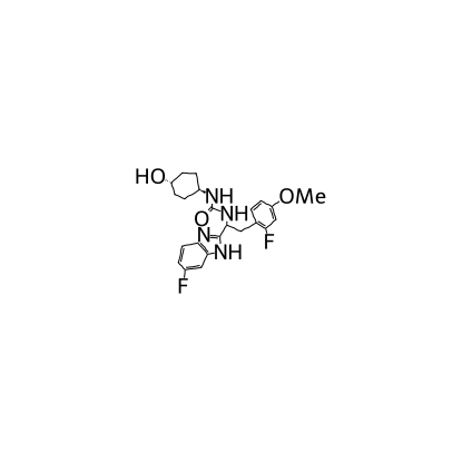 COc1ccc(CC(NC(=O)N[C@H]2CC[C@H](O)CC2)c2nc3ccc(F)cc3[nH]2)c(F)c1